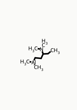 CCC(C[CH2][Al]([CH3])[CH3])N(C)C